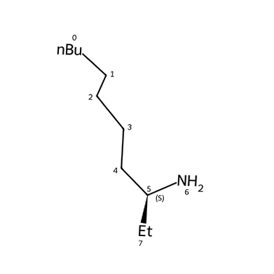 CCCCCCCC[C@@H](N)CC